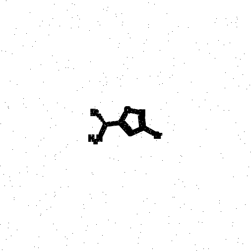 CC[C@@H](N)c1cc(Br)no1